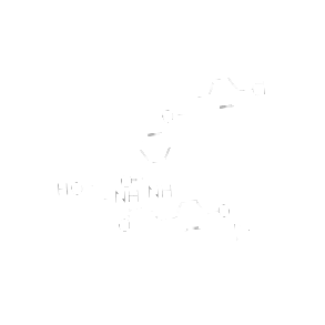 O=C(NCCO)C(=Cc1ccc(OC2CC2)cc1)NC(=O)c1ccc(OCCc2ccc(Cl)cc2)cc1